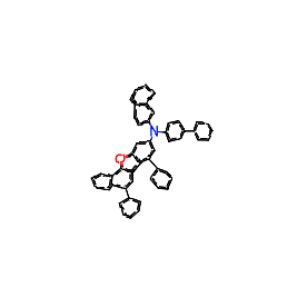 c1ccc(-c2ccc(N(c3ccc4ccccc4c3)c3cc(-c4ccccc4)c4c(c3)oc3c5ccccc5c(-c5ccccc5)cc34)cc2)cc1